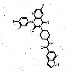 O=C(NC1CCC(n2c(=O)c3cc(F)cnc3n(-c3ccc(F)c(F)c3)c2=O)CC1)c1ccc2[nH]ccc2c1